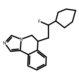 FC(CC1Cn2cncc2-c2ccccc21)C1CCCCC1